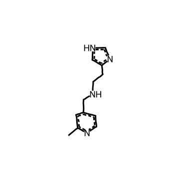 Cc1cc(CNCCc2c[nH]cn2)ccn1